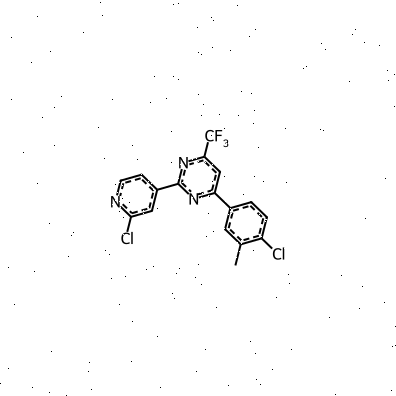 Cc1cc(-c2cc(C(F)(F)F)nc(-c3ccnc(Cl)c3)n2)ccc1Cl